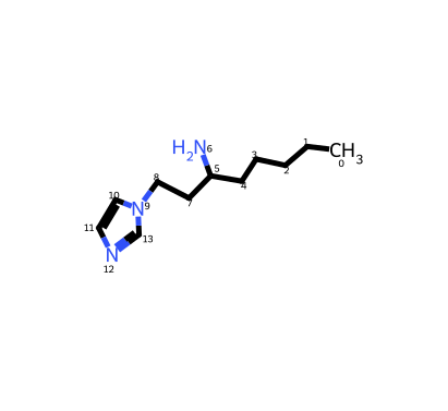 CCCCCC(N)CCn1ccnc1